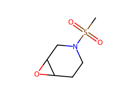 CS(=O)(=O)N1CCC2OC2C1